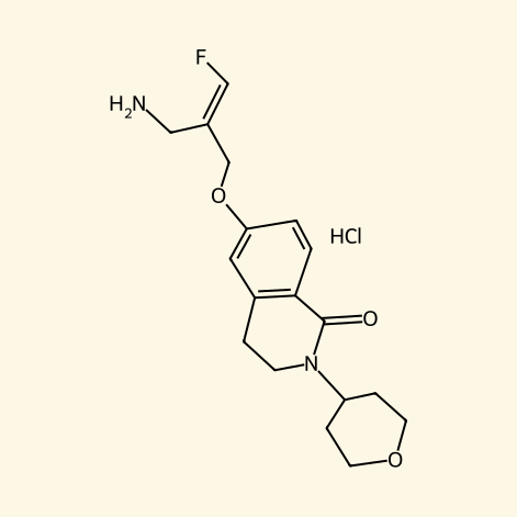 Cl.NC/C(=C\F)COc1ccc2c(c1)CCN(C1CCOCC1)C2=O